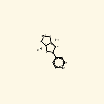 c1cc(C2C[C@H]3CNC[C@H]3C2)ccn1